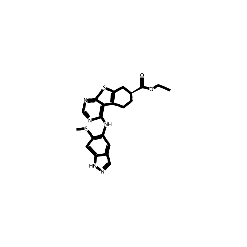 CCOC(=O)[C@H]1CCc2c(sc3ncnc(Nc4cc5cn[nH]c5cc4SC)c23)C1